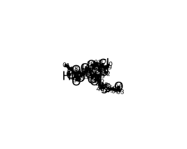 C=C/C=C/[C@@H](OC)[C@@]1(O)CC([C@@H](C)[C@@H]2O[C@@]2(C)[C@H](CC(=O)N(C)/C(C=C)=C(Cl)/C(=C\C)OC)OC(=O)[C@H](C)N(C)C(=O)CCC(C)(C)SSCCCC(C)=O)OC(=O)N1